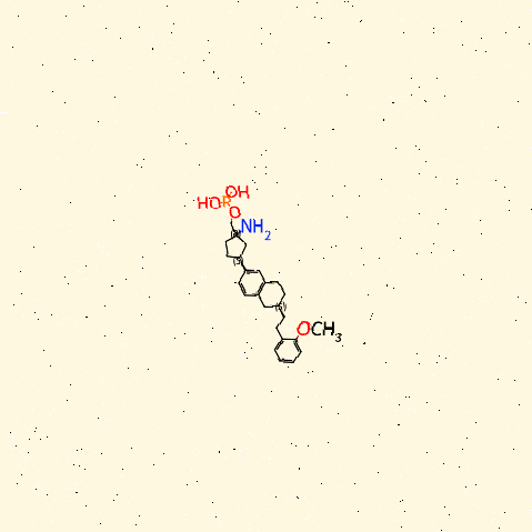 COc1ccccc1CC[C@@H]1CCc2cc([C@H]3CC[C@](N)(COP(O)O)C3)ccc2C1